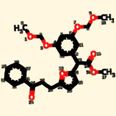 COCOc1cc(OCOC)cc(C(C(=O)OC)c2ccc(CCC(=O)c3ccccc3)o2)c1